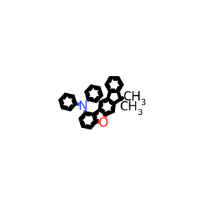 CC1(C)c2ccccc2-c2cc3c(cc21)oc1cccc(N(c2ccccc2)c2ccccc2)c13